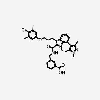 Cc1cc(OCCCc2c(C(=O)NCc3cccc(C(=O)O)c3)n(C)c3c(-c4c(C)nn(C)c4C)cccc23)cc(C)c1Cl